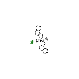 CC(C)C1=Cc2c(ccc3ccccc23)[CH]1[Ti+2]1([CH]2C(C(C)C)=Cc3c2ccc2ccccc32)[CH2][CH2]1.[Cl-].[Cl-]